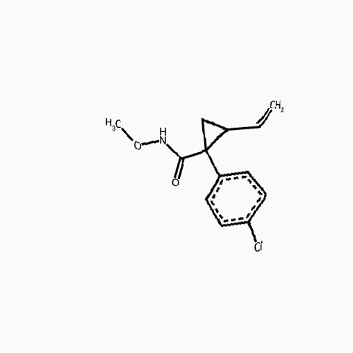 C=CC1CC1(C(=O)NOC)c1ccc(Cl)cc1